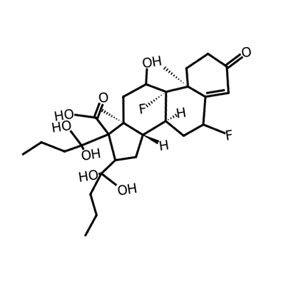 CCCC(O)(O)C1C[C@H]2[C@@H]3CC(F)C4=CC(=O)CC[C@]4(C)[C@]3(F)C(O)C[C@]2(C)C1(C(=O)O)C(O)(O)CCC